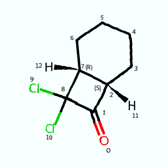 O=C1[C@H]2CCCC[C@H]2C1(Cl)Cl